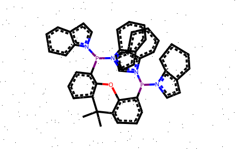 CC1(C)c2cccc(P(n3ccc4ccccc43)n3ccc4ccccc43)c2Oc2c(P(n3ccc4ccccc43)n3ccc4ccccc43)cccc21